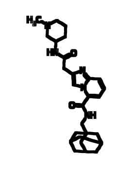 CN1CCCC(NC(=O)Cc2cn3c(C(=O)NCC45CC6CC(CC(C6)C4)C5)cccc3n2)C1